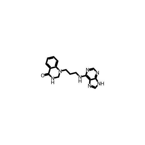 O=C1NCN(CCCNc2ncnc3[nH]cnc23)c2ccccc21